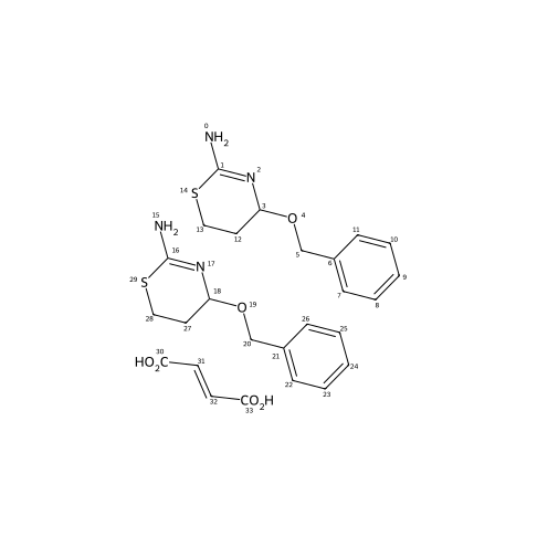 NC1=NC(OCc2ccccc2)CCS1.NC1=NC(OCc2ccccc2)CCS1.O=C(O)C=CC(=O)O